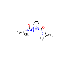 CC(C)CNC(=O)NC1CCCCC1NC(=O)NCC(C)C